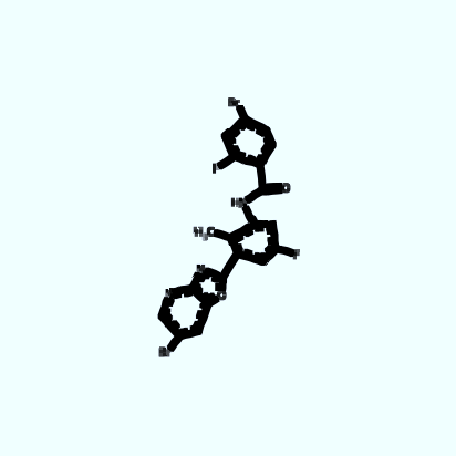 Cc1c(NC(=O)c2ccc(Br)cc2F)cc(F)cc1-c1nc2ncc(Br)cc2o1